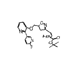 CC(C)(C)OC(=O)NCC1=NOC(COc2cccnc2-c2ccc(F)nc2)C1